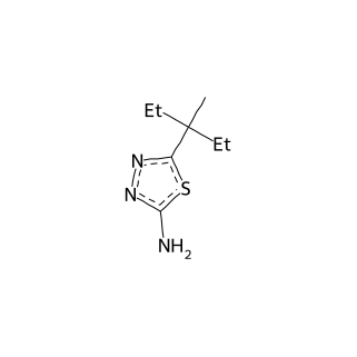 CCC(C)(CC)c1nnc(N)s1